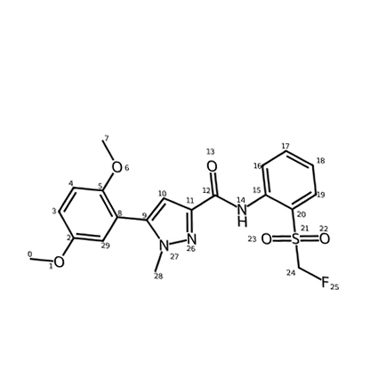 COc1ccc(OC)c(-c2cc(C(=O)Nc3ccccc3S(=O)(=O)CF)nn2C)c1